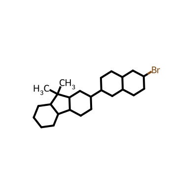 CC1(C)C2CCCCC2C2CCC(C3CCC4CC(Br)CCC4C3)CC21